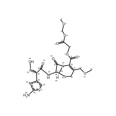 COCOC(=O)COC(=O)C1=C(COC)CS[C@H]2C(NC(=O)/C(=N\O)c3csc(N)n3)C(=O)N12